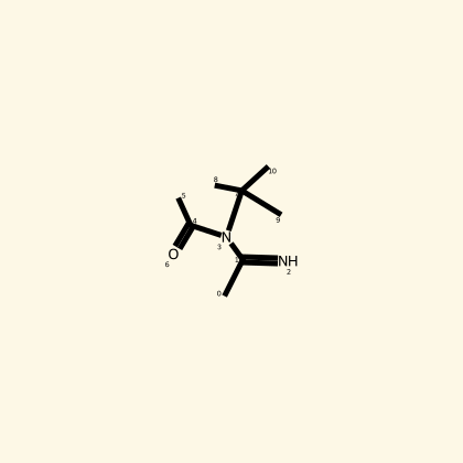 CC(=N)N(C(C)=O)C(C)(C)C